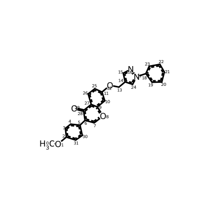 COc1ccc(-c2coc3cc(OCc4cnn(-c5ccccc5)c4)ccc3c2=O)cc1